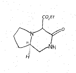 CCOC(=O)C1C(=O)NC[C@H]2CCCN12